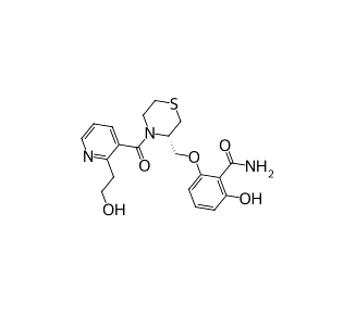 NC(=O)c1c(O)cccc1OC[C@H]1CSCCN1C(=O)c1cccnc1CCO